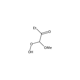 CCC(=O)C(OC)OO